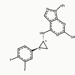 CCCn1ncc2c(N[C@@H]3C[C@H]3c3ccc(F)c(F)c3)nc(SC)nc21